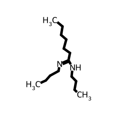 CCCCCCC(=NCCCC)NCCCC